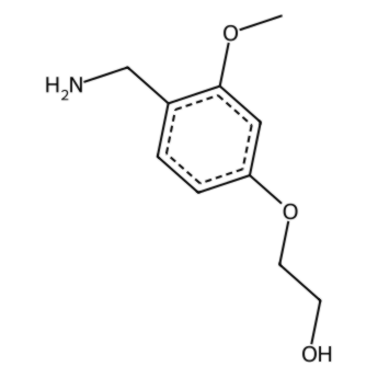 COc1cc(OCCO)ccc1CN